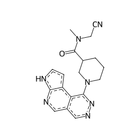 CN(CC#N)C(=O)C1CCCN(c2nncc3cnc4[nH]ccc4c23)C1